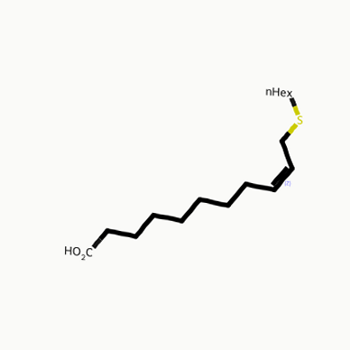 CCCCCCSC/C=C\CCCCCCCC(=O)O